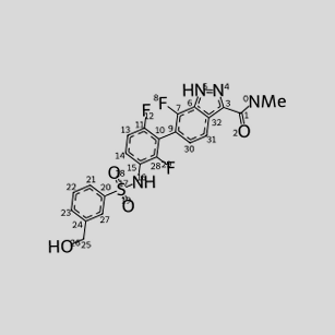 CNC(=O)c1n[nH]c2c(F)c(-c3c(F)ccc(NS(=O)(=O)c4cccc(CO)c4)c3F)ccc12